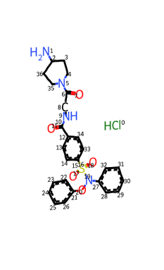 Cl.NC1CCN(C(=O)CNC(=O)c2ccc(S(=O)(=O)N(Oc3ccccc3)c3ccccc3)cc2)CC1